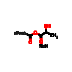 CCCCCC(=O)OC(=O)C(C)O.[NaH]